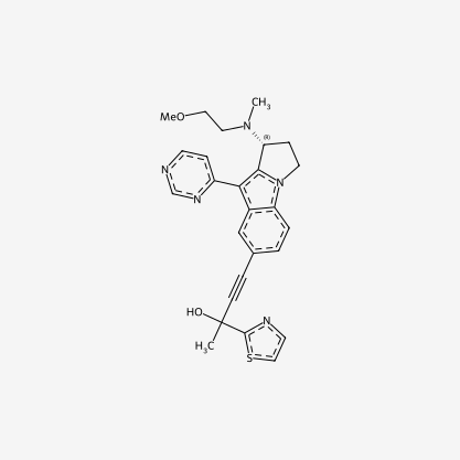 COCCN(C)[C@@H]1CCn2c1c(-c1ccncn1)c1cc(C#CC(C)(O)c3nccs3)ccc12